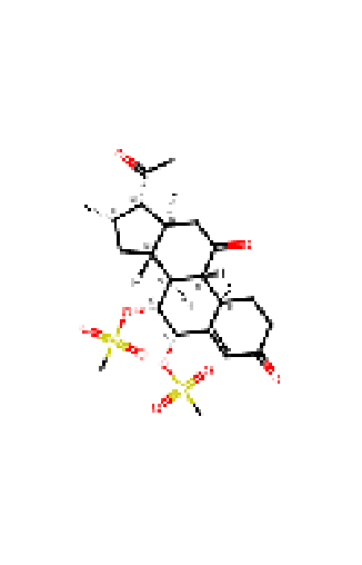 CC(=O)[C@H]1[C@@H](C)C[C@H]2[C@@H]3[C@@H](OS(C)(=O)=O)[C@@H](OS(C)(=O)=O)C4=CC(=O)CC[C@]4(C)[C@H]3C(=O)C[C@@]21C